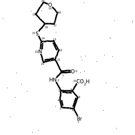 O=C(Nc1ccc(Br)cc1C(=O)O)c1ccc(SC2CCOCC2)nc1